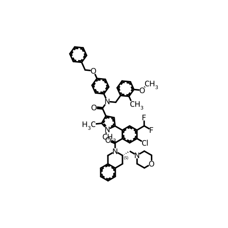 COc1cccc(CN(C(=O)c2cc(-c3cc(C(F)F)c(Cl)cc3C(=O)N3Cc4ccccc4C[C@H]3CN3CCOCC3)n(C)c2C)c2ccc(OCc3ccccc3)cc2)c1C